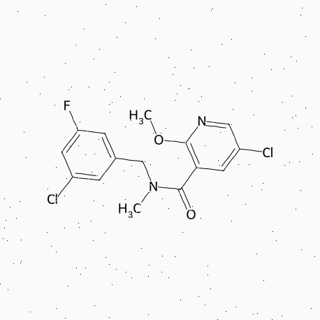 COc1ncc(Cl)cc1C(=O)N(C)Cc1cc(F)cc(Cl)c1